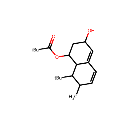 CCC(C)C(=O)OC1CC(O)C=C2C=CC(C)C(C(C)(C)C)C21